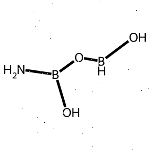 NB(O)OBO